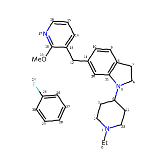 CCN1CCC(N2CCc3ccc(Cc4cccnc4OC)cc32)CC1.Fc1ccccc1